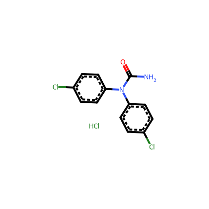 Cl.NC(=O)N(c1ccc(Cl)cc1)c1ccc(Cl)cc1